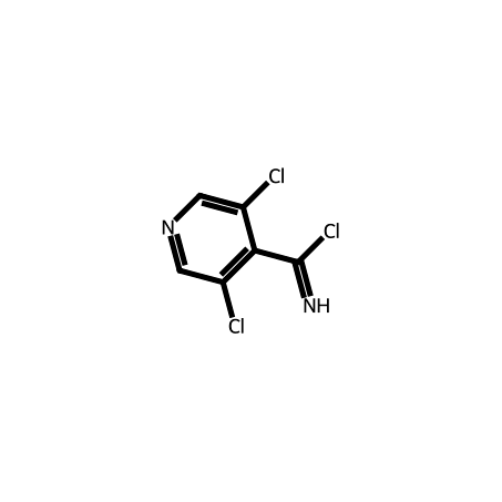 N=C(Cl)c1c(Cl)cncc1Cl